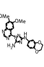 COc1cc2ncnc(-n3nc(Nc4ccc5c(c4)OCCO5)nc3N)c2cc1OC